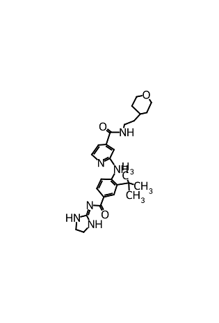 CC(C)(C)c1cc(C(=O)N=C2NCCN2)ccc1Nc1cc(C(=O)NCCC2CCOCC2)ccn1